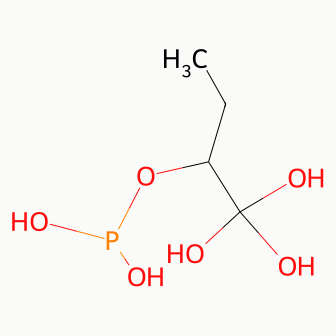 CCC(OP(O)O)C(O)(O)O